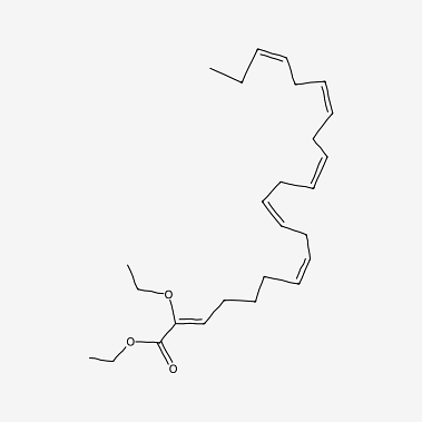 CC/C=C\C/C=C\C/C=C\C/C=C\C/C=C\CCCC=C(OCC)C(=O)OCC